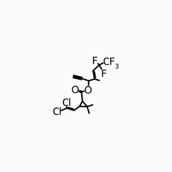 C#CC(OC(=O)C1C(C=C(Cl)Cl)C1(C)C)/C(C)=C/C(F)(F)C(F)(F)F